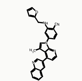 Cc1cn(-c2ccc(C#N)c(NCc3ccco3)c2)c2nccc(-c3cnc4ccccc4c3)c12